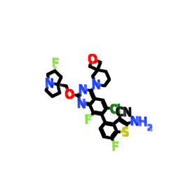 N#Cc1c(N)sc2c(F)ccc(-c3c(Cl)cc4c(N5CCCC6(COC6)C5)nc(OC[C@@]56CCCN5C[C@H](F)C6)nc4c3F)c12